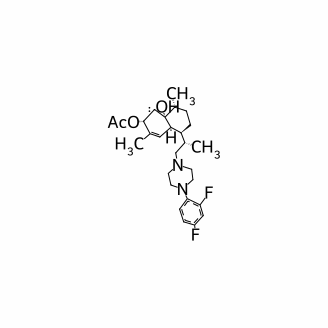 CC(=O)O[C@@H]1[C][C@@]2(O)[C@H](C)CC[C@@H]([C@H](C)CN3CCN(c4ccc(F)cc4F)CC3)[C@H]2C=C1C